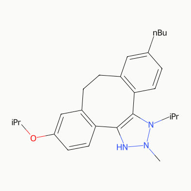 CCCCc1ccc2c(c1)CCc1cc(OC(C)C)ccc1C1=C2N(C(C)C)N(C)N1